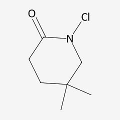 CC1(C)CCC(=O)N(Cl)C1